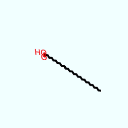 CCCCCCCCCCCCCCCCCC=CCCCCCCCCC(=O)O